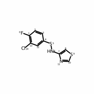 Fc1ccc(SNc2cscn2)cc1Cl